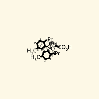 CC1CCC(C(C)C)C([Si](OCC(=O)O)(C2CC(C)CCC2C(C)C)C(C)(C)C)C1